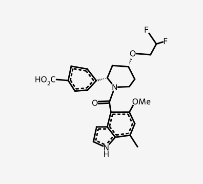 COc1cc(C)c2[nH]ccc2c1C(=O)N1CC[C@@H](OCC(F)F)C[C@H]1c1ccc(C(=O)O)cc1